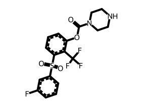 O=C(Oc1cccc(S(=O)(=O)c2cccc(F)c2)c1C(F)(F)F)N1CCNCC1